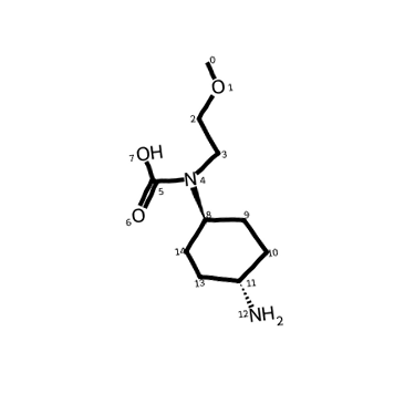 COCCN(C(=O)O)[C@H]1CC[C@H](N)CC1